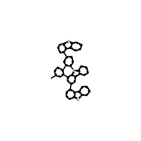 Cc1ccc2c(c1)-c1cc(-c3cccc4oc5ccccc5c34)cc3c4ccccc4n(c13)-c1ccc(-c3cccc4oc5ccccc5c34)cc1-2